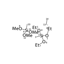 CCO[Si](C)(OCC)OCC.CO[Si](C)(OC)OC.[CH2]C